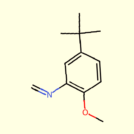 C=Nc1cc(C(C)(C)C)ccc1OC